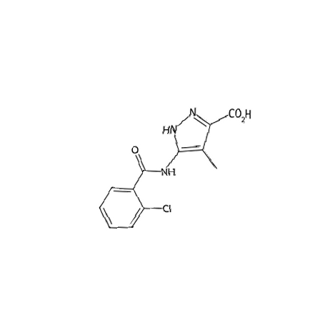 Cc1c(C(=O)O)n[nH]c1NC(=O)c1ccccc1Cl